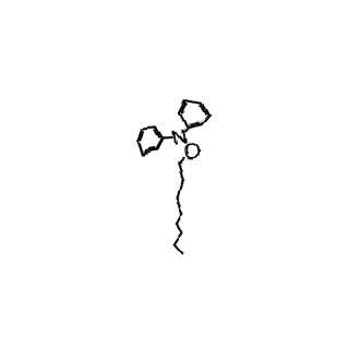 CCCCCCCCON(c1ccccc1)c1ccccc1